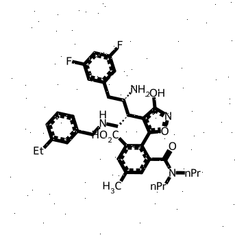 CCCN(CCC)C(=O)c1cc(C)cc(C(=O)O)c1-c1onc(O)c1[C@H](CNCc1cccc(CC)c1)[C@@H](N)Cc1cc(F)cc(F)c1